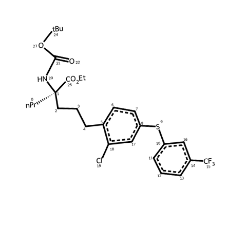 CCC[C@](CCCc1ccc(Sc2cccc(C(F)(F)F)c2)cc1Cl)(NC(=O)OC(C)(C)C)C(=O)OCC